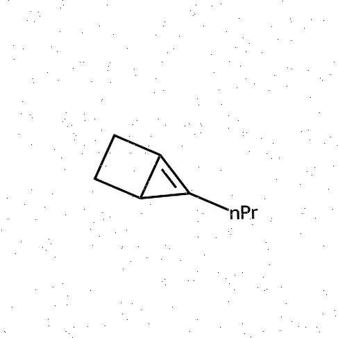 CCCC1=C2CCC12